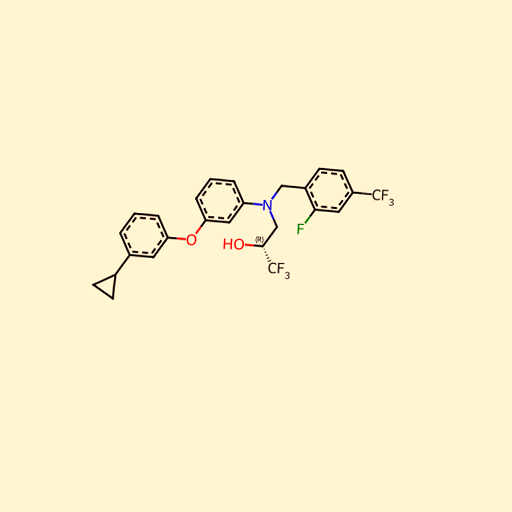 O[C@H](CN(Cc1ccc(C(F)(F)F)cc1F)c1cccc(Oc2cccc(C3CC3)c2)c1)C(F)(F)F